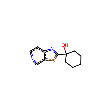 OC1(c2nc3ccncc3s2)CCCCC1